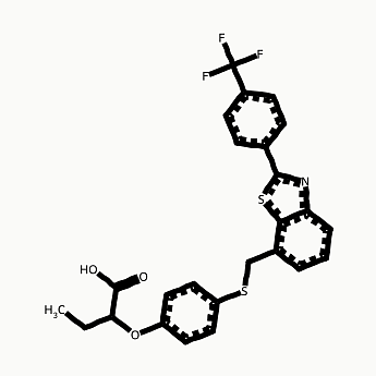 CCC(Oc1ccc(SCc2cccc3nc(-c4ccc(C(F)(F)F)cc4)sc23)cc1)C(=O)O